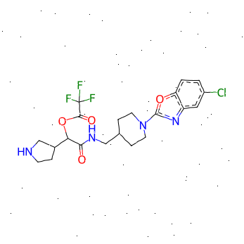 O=C(NCC1CCN(c2nc3cc(Cl)ccc3o2)CC1)C(OC(=O)C(F)(F)F)C1CCNC1